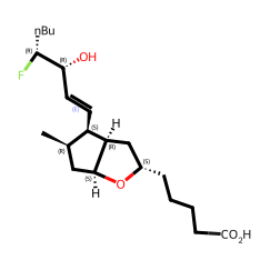 CCCC[C@@H](F)[C@H](O)/C=C/[C@H]1[C@H]2C[C@H](CCCCC(=O)O)O[C@H]2C[C@H]1C